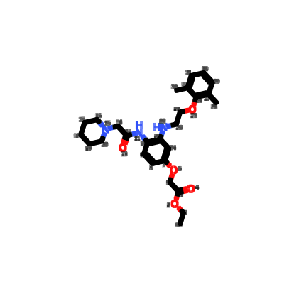 CCOC(=O)COc1ccc(NC(=O)CN2CCCCC2)c(NCCOc2c(C)cccc2C)c1